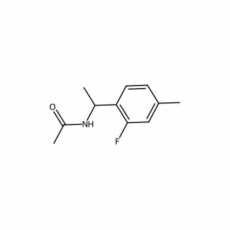 CC(=O)NC(C)c1ccc(C)cc1F